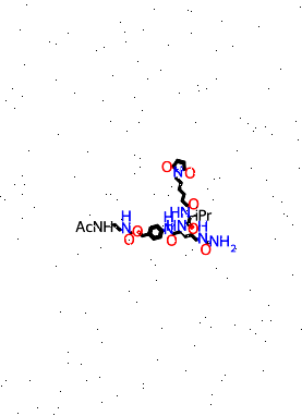 CC(=O)NCCNC(=O)OCc1ccc(NC(=O)[C@H](CCCNC(N)=O)NC(=O)[C@@H](NC(=O)CCCCCN2C(=O)C=CC2=O)C(C)C)cc1